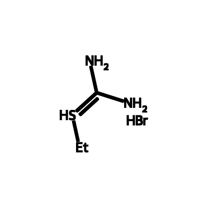 Br.CC[SH]=C(N)N